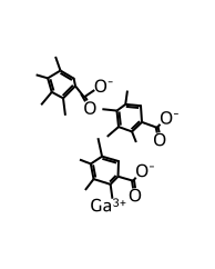 Cc1cc(C(=O)[O-])c(C)c(C)c1C.Cc1cc(C(=O)[O-])c(C)c(C)c1C.Cc1cc(C(=O)[O-])c(C)c(C)c1C.[Ga+3]